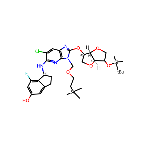 CC(C)(C)[Si](C)(C)OC1CO[C@H]2[C@@H]1OC[C@H]2Oc1nc2cc(Cl)c(N[C@H]3CCc4cc(O)cc(F)c43)nc2n1COCC[Si](C)(C)C